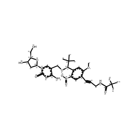 COc1cc([C@@H](OCc2cn([C@H]3CC(O)[C@@H](CO)O3)c(=O)nc2N)C(C)(C)C)c([N+](=O)[O-])cc1C#CCNC(=O)C(F)(F)F